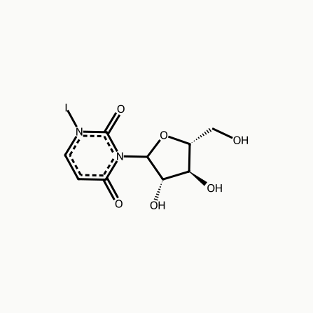 O=c1ccn(I)c(=O)n1C1O[C@H](CO)[C@@H](O)[C@@H]1O